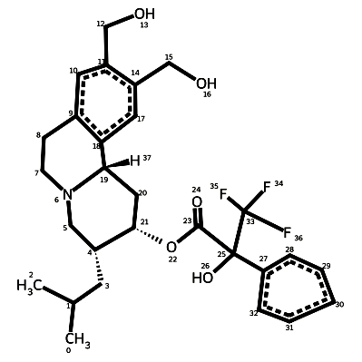 CC(C)C[C@@H]1CN2CCc3cc(CO)c(CO)cc3[C@@H]2C[C@@H]1OC(=O)C(O)(c1ccccc1)C(F)(F)F